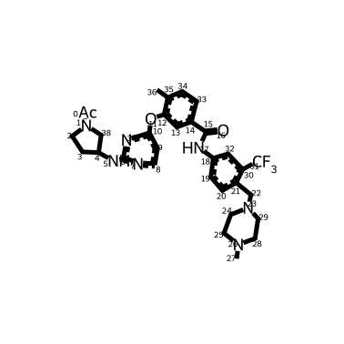 CC(=O)N1CCC(Nc2nccc(Oc3cc(C(=O)Nc4ccc(CN5CCN(C)CC5)c(C(F)(F)F)c4)ccc3C)n2)C1